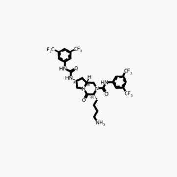 NCCCC[C@@H]1C(=O)N2C[C@H](NC(=O)Nc3cc(C(F)(F)F)cc(C(F)(F)F)c3)C[C@@H]2CN1C(=O)Nc1cc(C(F)(F)F)cc(C(F)(F)F)c1